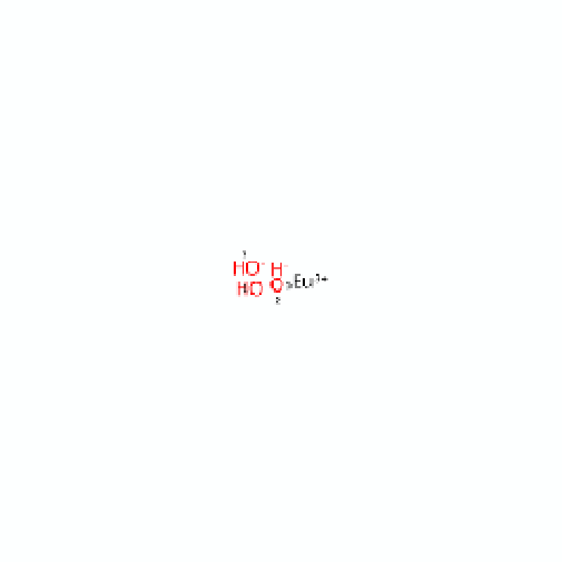 [Eu+3].[OH-].[OH-].[OH-]